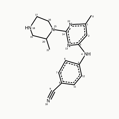 Cc1cc(Nc2ccc(C#N)cc2)nc(N2CCNCC2C)n1